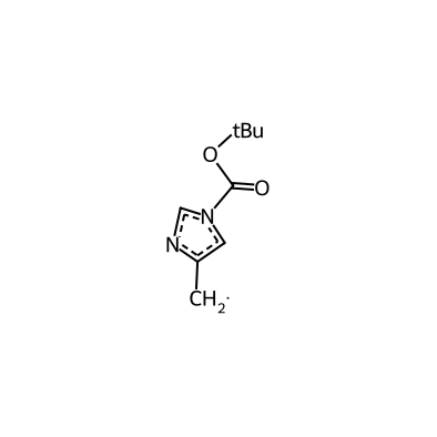 [CH2]c1cn(C(=O)OC(C)(C)C)cn1